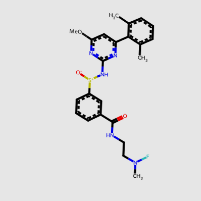 COc1cc(-c2c(C)cccc2C)nc(N[S+]([O-])c2cccc(C(=O)NCCN(C)F)c2)n1